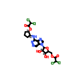 O=C(OCC1OC(n2cnc3c(N[C@H]4CCC[C@@H]4OC(=O)C(Cl)Cl)nncc32)[C@H](O)[C@@H]1O)C(Cl)Cl